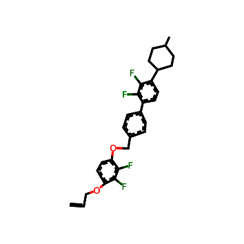 C=CCOc1ccc(OCc2ccc(-c3ccc(C4CCC(C)CC4)c(F)c3F)cc2)c(F)c1F